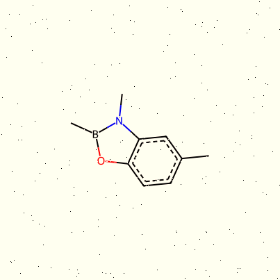 CB1Oc2ccc(C)cc2N1C